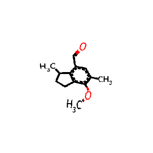 COc1c(C)cc(C=O)c2c1CCC2C